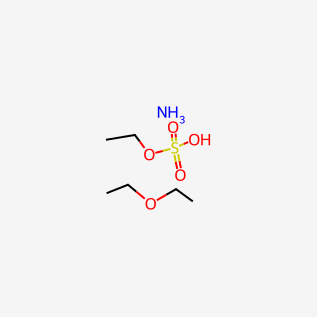 CCOCC.CCOS(=O)(=O)O.N